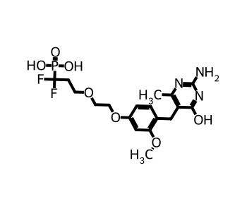 COc1cc(OCCOCCC(F)(F)P(=O)(O)O)ccc1Cc1c(C)nc(N)nc1O